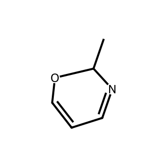 CC1N=CC=CO1